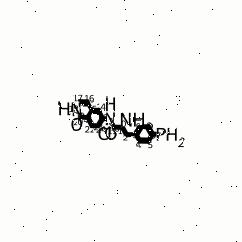 NC(Cc1ccc(P)cc1)C(=O)Nc1cc2cc[nH]c(=O)c2cc1Cl